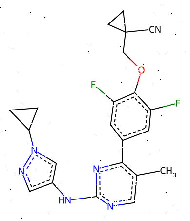 Cc1cnc(Nc2cnn(C3CC3)c2)nc1-c1cc(F)c(OCC2(C#N)CC2)c(F)c1